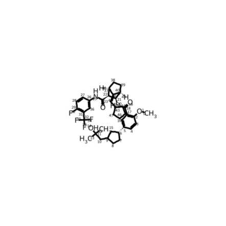 COc1ccc([C@@H]2CCC(CC(C)(C)O)C2)cc1C(=O)N[C@H]1[C@@H](C(=O)Nc2ccc(F)c(C(F)(F)F)c2)[C@H]2CC[C@@H]1/C2=C\C1CCCC1